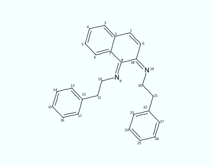 C1=Cc2ccccc2C(=NCCc2ccccc2)C1=NCCc1ccccc1